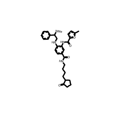 CNC(CNc1ccc(C(=O)NCCCCC2CCCC2=O)cc1NC(=O)c1ccc(C)o1)c1ccccc1